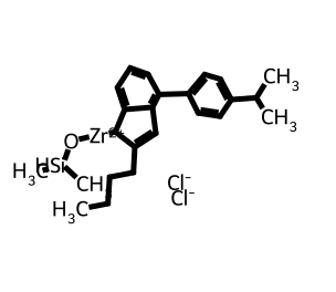 CCCCC1=Cc2c(-c3ccc(C(C)C)cc3)cccc2[CH]1[Zr+2][O][SiH](C)C.[Cl-].[Cl-]